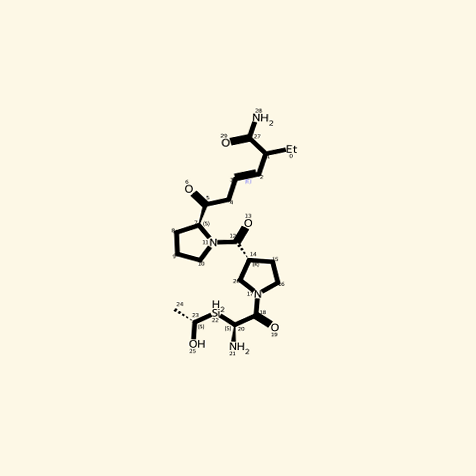 CCC(/C=C/CC(=O)[C@@H]1CCCN1C(=O)[C@@H]1CCN(C(=O)[C@@H](N)[SiH2][C@@H](C)O)C1)C(N)=O